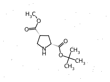 COC(=O)[C@H]1CN[C@@H](C(=O)OC(C)(C)C)C1